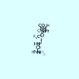 CC(C)N(C(=O)NCC(=O)O)c1ccc(C#CCNc2ccc(C(=N)N)cc2)c(C(F)(F)F)c1